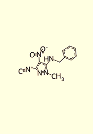 [C-]#[N+]c1nn(C)c(NCc2ccccc2)c1[N+](=O)[O-]